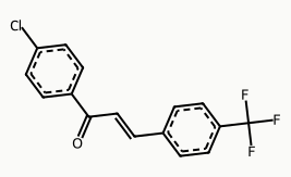 O=C(C=Cc1ccc(C(F)(F)F)cc1)c1ccc(Cl)cc1